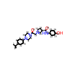 C=C(C)c1ccc(N2CCN(C(=O)CN3CC[C@@H](C(=O)Nc4ccc(O)cc4)C3)CC2)cc1